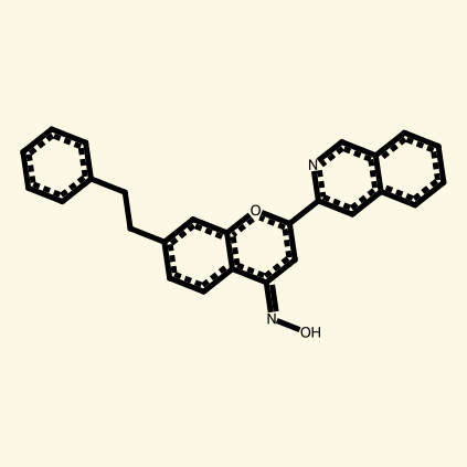 O/N=c1\cc(-c2cc3ccccc3cn2)oc2cc(CCc3ccccc3)ccc12